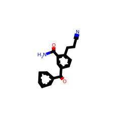 N#C[CH]Cc1ccc(C(=O)c2ccccc2)cc1C(N)=O